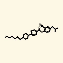 CCCCCCCC1CCC(c2ccc(C(=O)Oc3ccc(CC(C)C)cc3C#N)cc2)CC1